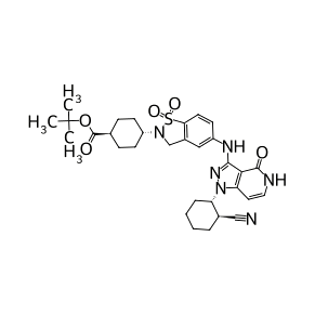 CC(C)(C)OC(=O)[C@H]1CC[C@H](N2Cc3cc(Nc4nn([C@H]5CCCC[C@@H]5C#N)c5cc[nH]c(=O)c45)ccc3S2(=O)=O)CC1